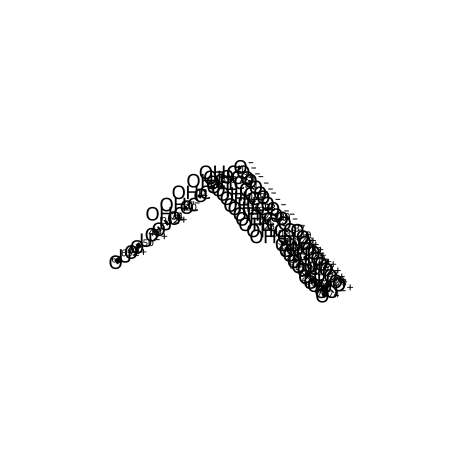 O=C[O-].O=C[O-].O=C[O-].O=C[O-].O=C[O-].O=C[O-].O=C[O-].O=C[O-].O=C[O-].O=C[O-].O=C[O-].O=C[O-].O=C[O-].O=C[O-].O=C[O-].O=C[O-].O=C[O-].[O]=[U+2]=[O].[O]=[U+2]=[O].[O]=[U+2]=[O].[O]=[U+2]=[O].[O]=[U+2]=[O].[O]=[U+2]=[O].[O]=[U+2]=[O].[O]=[U+2]=[O].[O]=[U+2]=[O].[O]=[U+2]=[O].[O]=[U+2]=[O].[O]=[U+2]=[O].[O]=[U+2]=[O].[O]=[U+2]=[O]